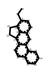 CCc1ccc2cc3c(ccc4ccccc43)c3c2c1CC3